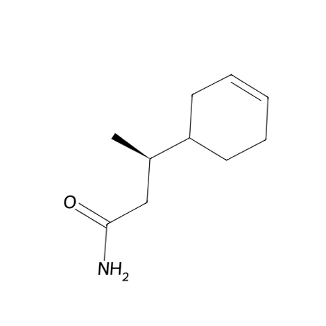 C[C@H](CC(N)=O)C1CC=CCC1